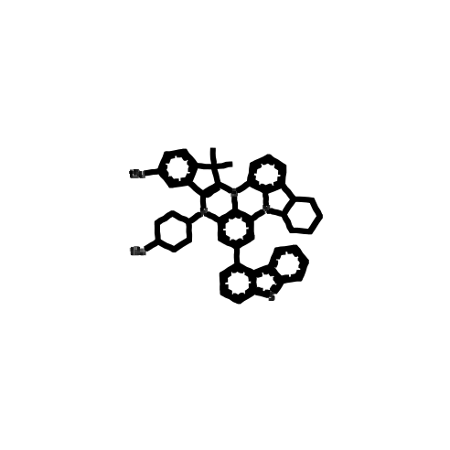 CC(C)(C)c1ccc2c(c1)C1=C(B3c4cccc5c4N(c4cc(-c6cccc7sc8ccccc8c67)cc(c43)N1C1CCC(C(C)(C)C)CC1)C1CCCCC51)C2(C)C